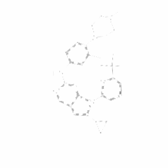 Cc1cc(Nc2ncc3cc(C4CC4)n(-c4cccc(C(C)(C)O)n4)c3n2)ccc1N1CCN(C)CC1